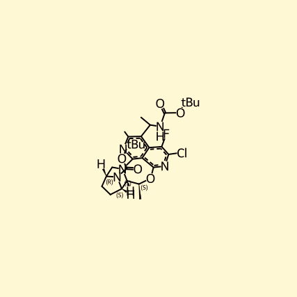 Cc1nc2c3c(nc(Cl)c(F)c3c1C(C)NC(=O)OC(C)(C)C)O[C@@H](C)[C@@H]1[C@@H]3CC[C@H](CN21)N3C(=O)OC(C)(C)C